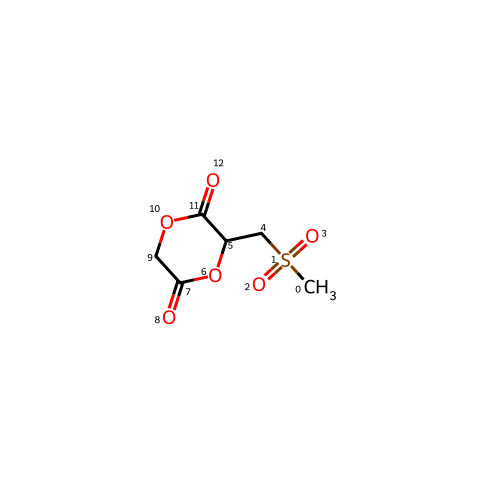 CS(=O)(=O)CC1OC(=O)COC1=O